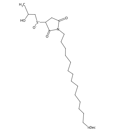 CCCCCCCCCCCCCCCCCCCCCCCCN1C(=O)CC([S+]([O-])CC(C)O)C1=O